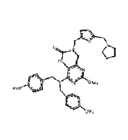 COc1ccc(CN(Cc2ccc(OC)cc2)c2nc(OC)nc3c2NC(=O)N(Cc2ccc(CN4CCCC4)s2)C3)cc1